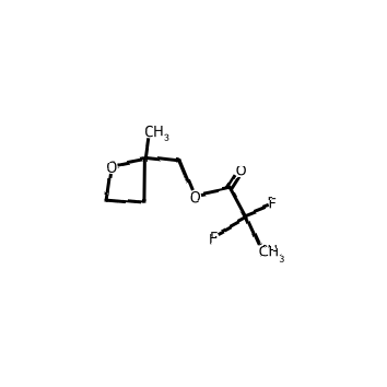 CC1(COC(=O)C(C)(F)F)CCO1